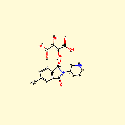 Cc1ccc2c(c1)C(=O)N(C1CCCNC1)C2=O.O=C(O)C(O)C(O)C(=O)O